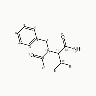 CC(=O)N(Cc1ccccc1)C(C([NH])=O)C(C)C